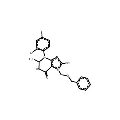 CCc1nc2c(n1COCc1ccccc1)C(=O)NC(C)N2c1ccc(Cl)cc1Cl